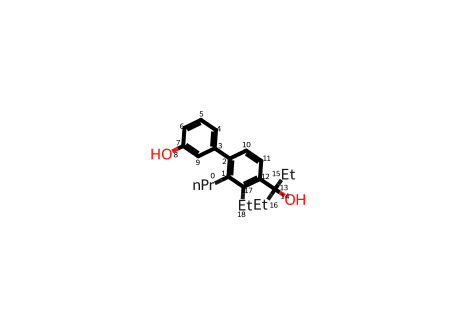 CCCc1c(-c2cccc(O)c2)ccc(C(O)(CC)CC)c1CC